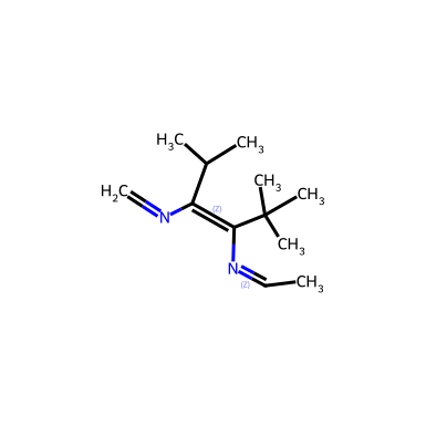 C=N/C(=C(\N=C/C)C(C)(C)C)C(C)C